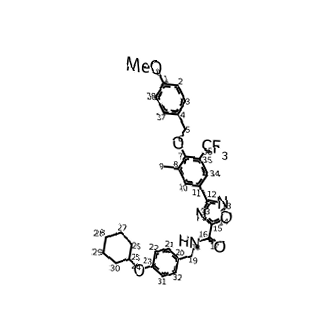 COc1ccc(COc2c(C)cc(-c3noc(C(=O)NCc4ccc(OC5CCCCC5)cc4)n3)cc2C(F)(F)F)cc1